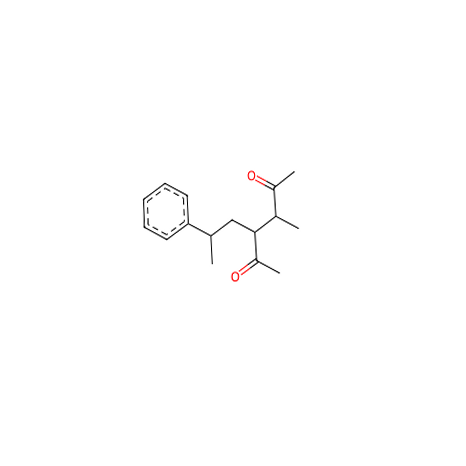 CC(=O)C(C)C(CC(C)c1ccccc1)C(C)=O